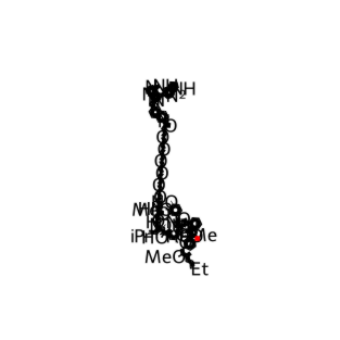 CC/C=C/C=C(\C)[C@H](C[C@@H]1CC[C@@H](C)[C@](O)(C(=O)C(=O)N2CCCC[C@H]2C(=O)O[C@@H](C[C@@H](OC)[C@H](C)/C=C(\C)[C@@H](O)[C@@H](O)C(=NOCC(=O)NCCOCCOCCOCCOCCOCCOCCC(=O)N2CCc3cc(Cn4nc(-c5cnc6[nH]ccc6c5)c5c(N)ncnc54)ccc3C2)[C@H](C)CC(C)C)[C@H](N)C[C@@H]2CC[C@@H](O)[C@H](OC)C2)O1)OC